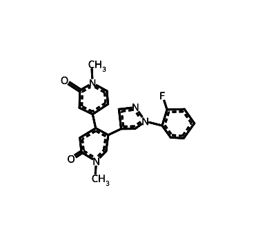 Cn1ccc(-c2cc(=O)n(C)cc2-c2cnn(-c3ccccc3F)c2)cc1=O